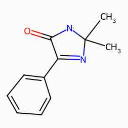 CC1(C)[N]C(=O)C(c2ccccc2)=N1